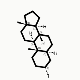 C[C@@]12CCC[C@H]1[C@@H]1CC[C@H]3C[C@H](I)CC[C@]3(C)[C@H]1CC2